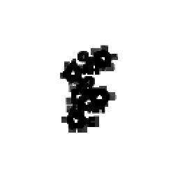 O=C(N[C@@H]1CCCC[C@@H]1C(=O)N1CC[C@H]2[C@@H](c3ccccc3Cl)Nc3ccccc3[C@H]21)c1ccccc1